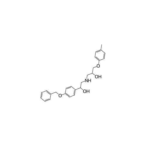 Cc1ccc(OCC(O)CNCC(O)c2ccc(OCc3ccccc3)cc2)cc1